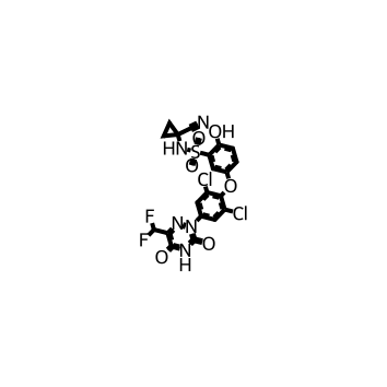 N#CC1(NS(=O)(=O)c2cc(Oc3c(Cl)cc(-n4nc(C(F)F)c(=O)[nH]c4=O)cc3Cl)ccc2O)CC1